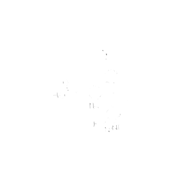 Cc1cc(C#N)ccc1/C(=C(\c1ccc(/C=C/C(=O)O)cc1)c1ccc2[nH]nc(F)c2c1C#N)C1CCC1